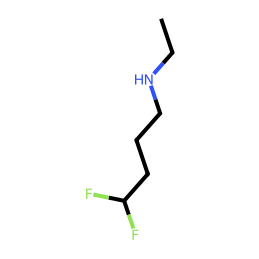 CCNCCCC(F)F